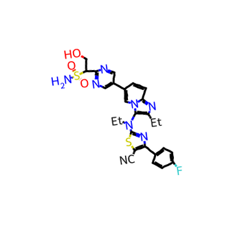 CCc1nc2ccc(-c3cnc(C(CO)S(N)(=O)=O)nc3)cn2c1N(CC)c1nc(-c2ccc(F)cc2)c(C#N)s1